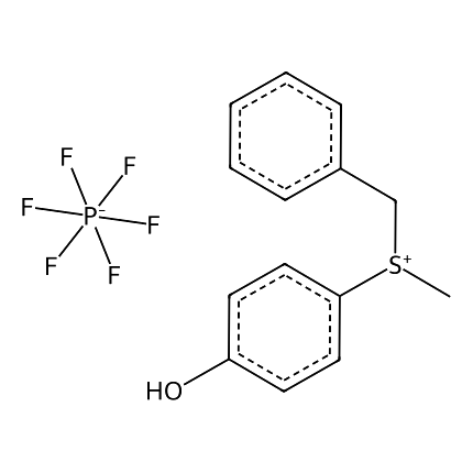 C[S+](Cc1ccccc1)c1ccc(O)cc1.F[P-](F)(F)(F)(F)F